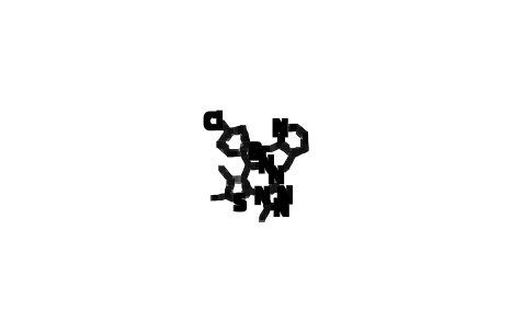 Cc1sc2c(c1C)C(c1ccc(Cl)cc1)=NN(Cc1cccnc1Br)c1nnc(C)n1-2